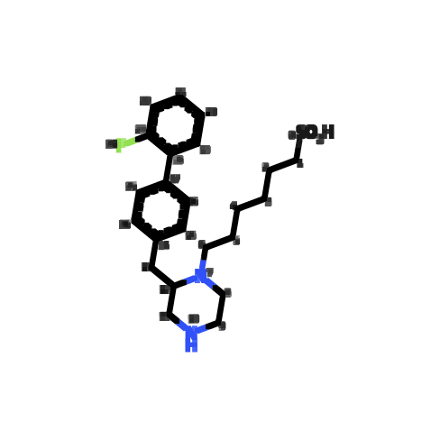 O=S(=O)(O)CCCCCCN1CCNCC1Cc1ccc(-c2ccccc2F)cc1